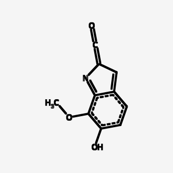 COc1c(O)ccc2c1=NC(=C=O)C=2